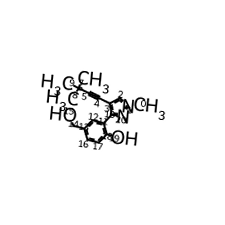 Cn1cc(C#CC(C)(C)C)c(-c2cc(CO)ccc2O)n1